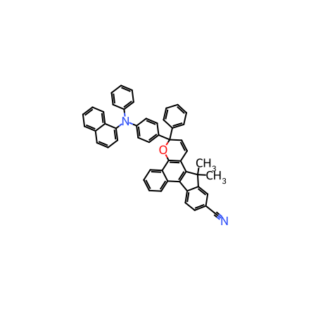 CC1(C)c2cc(C#N)ccc2-c2c1c1c(c3ccccc23)OC(c2ccccc2)(c2ccc(N(c3ccccc3)c3cccc4ccccc34)cc2)C=C1